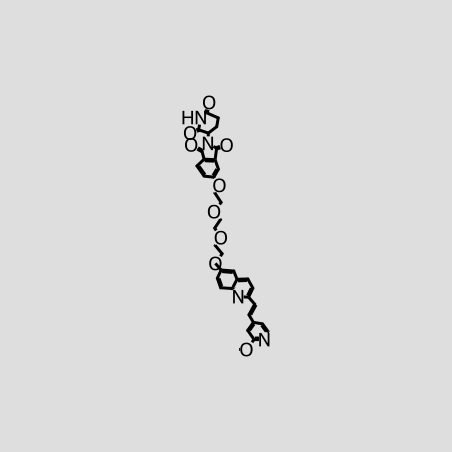 COc1cc(C=Cc2ccc3cc(OCCOCCOCCOc4ccc5c(c4)C(=O)N(C4CCC(=O)NC4=O)C5=O)ccc3n2)ccn1